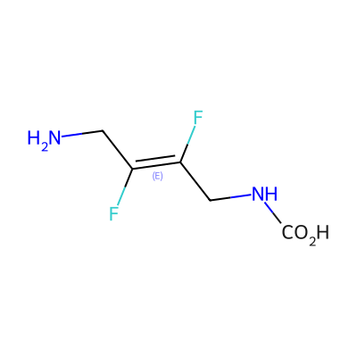 NC/C(F)=C(\F)CNC(=O)O